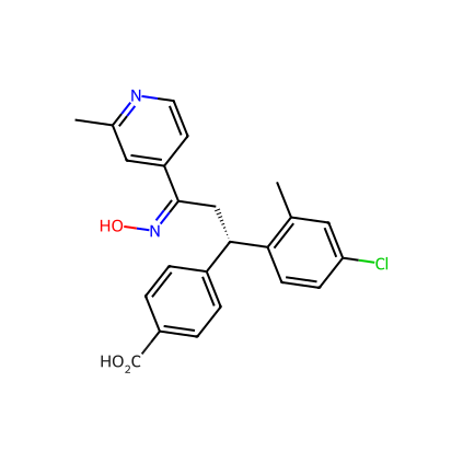 Cc1cc(C(C[C@@H](c2ccc(C(=O)O)cc2)c2ccc(Cl)cc2C)=NO)ccn1